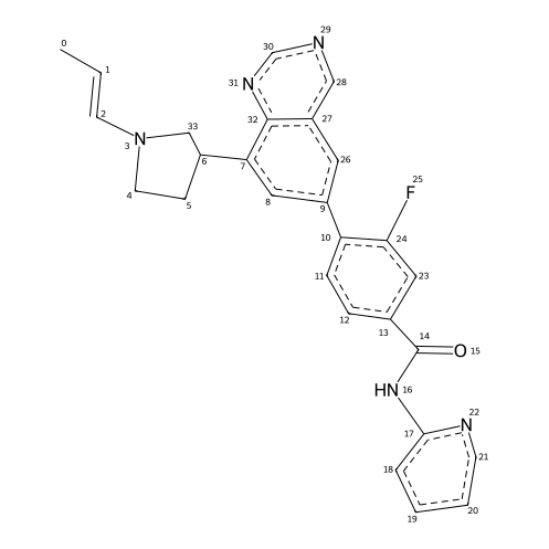 CC=CN1CCC(c2cc(-c3ccc(C(=O)Nc4ccccn4)cc3F)cc3cncnc23)C1